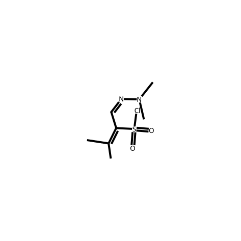 CC(C)=C(/C=N\N(C)C)S(=O)(=O)Cl